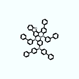 c1ccc(-c2ccc(N(c3ccc(-c4ccccc4)cc3)c3ccc4c(c3)N(c3cccc(-c5ccccc5)c3)c3cc5c(oc6ccccc65)c5c3B4N(c3cccc(-c4ccccc4)c3)c3ccc(-c4ccccc4)cc3-5)cc2)cc1